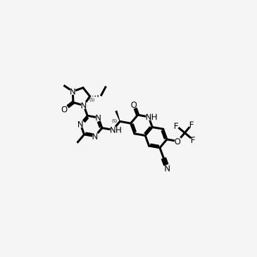 CC[C@H]1CN(C)C(=O)N1c1nc(C)nc(N[C@@H](C)c2cc3cc(C#N)c(OC(F)(F)F)cc3[nH]c2=O)n1